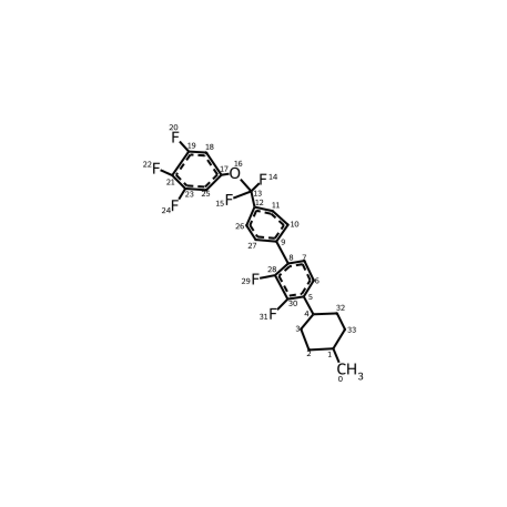 CC1CCC(c2ccc(-c3ccc(C(F)(F)Oc4cc(F)c(F)c(F)c4)cc3)c(F)c2F)CC1